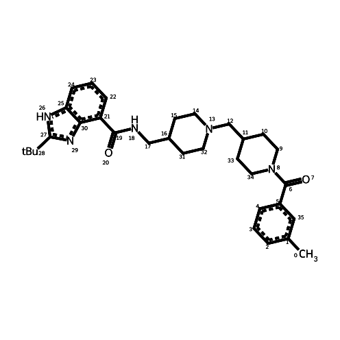 Cc1cccc(C(=O)N2CCC(CN3CCC(CNC(=O)c4cccc5[nH]c(C(C)(C)C)nc45)CC3)CC2)c1